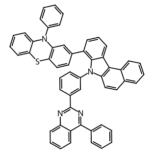 c1ccc(-c2nc(-c3cccc(-n4c5ccc6ccccc6c5c5cccc(-c6ccc7c(c6)N(c6ccccc6)c6ccccc6S7)c54)c3)nc3ccccc23)cc1